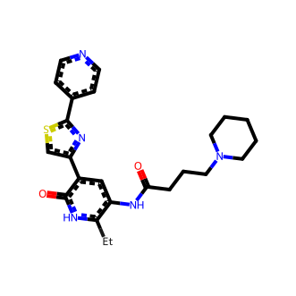 CCc1[nH]c(=O)c(-c2csc(-c3ccncc3)n2)cc1NC(=O)CCCN1CCCCC1